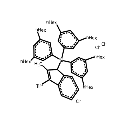 CCCCCCc1cc(CCCCCC)cc([Si](c2cc(CCCCCC)cc(CCCCCC)c2)(c2cc(CCCCCC)cc(CCCCCC)c2)C2C(C)=[C]([Ti+3])c3ccccc32)c1.[Cl-].[Cl-].[Cl-]